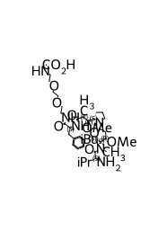 CC[C@H](C)[C@@H]([C@@H](CC(=O)N1CCC[C@H]1[C@H](OC)[C@@H](C)C(=O)N[C@@H](Cc1ccccc1)C(=O)NCCOCCOCCNC(=O)O)OC)N(C)C(=O)[C@@H](N)C(C)C